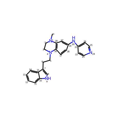 CN1CCN(CCc2c[nH]c3ccccc23)c2ccc(Nc3ccncc3)cc21